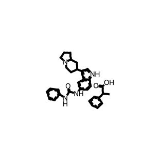 CC(C(=O)O)c1ccccc1.O=C(Nc1ccccc1)Nc1ccc2[nH]cc(C3CCN4CCCC4C3)c2c1